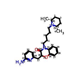 C[C@@H]1CCC[C@H](C)N1CCCCCN1C(=O)C(Cc2cccc(N)n2)Oc2ccccc21